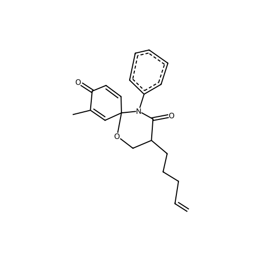 C=CCCCC1COC2(C=CC(=O)C(C)=C2)N(c2ccccc2)C1=O